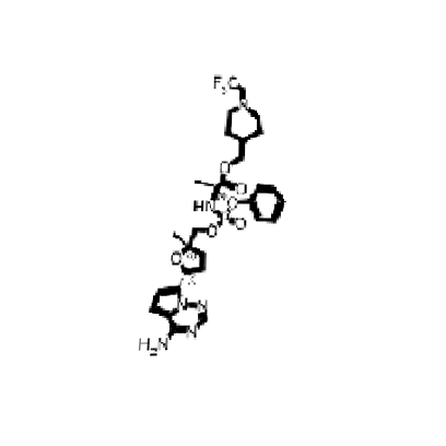 C[C@H](NP(=O)(OC[C@]1(C)CC[C@H](c2ccc3c(N)ncnn23)O1)Oc1ccccc1)C(=O)OCC1CCN(CC(F)(F)F)CC1